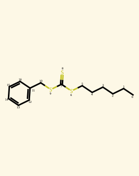 CCCCCCSC(=S)SCc1ccccc1